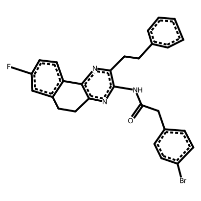 O=C(Cc1ccc(Br)cc1)Nc1nc2c(nc1CCc1ccccc1)-c1ccc(F)cc1CC2